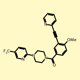 COc1ccc(C(=O)N2CCN(c3ccc(C(F)(F)F)cn3)CC2)cc1C#Cc1ccccn1